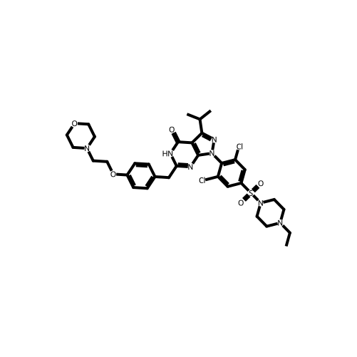 CCN1CCN(S(=O)(=O)c2cc(Cl)c(-n3nc(C(C)C)c4c(=O)[nH]c(Cc5ccc(OCCN6CCOCC6)cc5)nc43)c(Cl)c2)CC1